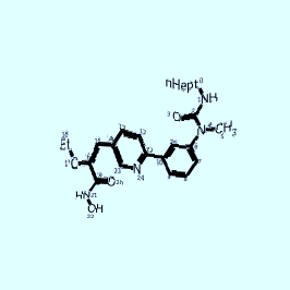 CCCCCCCNC(=O)N(C)c1cccc(-c2ccc(/C=C(/OCC)C(=O)NO)cn2)c1